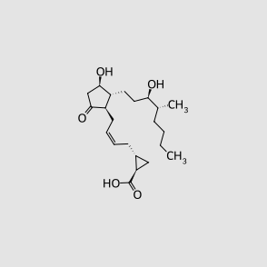 CCCC[C@@H](C)[C@H](O)CC[C@H]1[C@H](O)CC(=O)[C@@H]1C/C=C\C[C@@H]1C[C@H]1C(=O)O